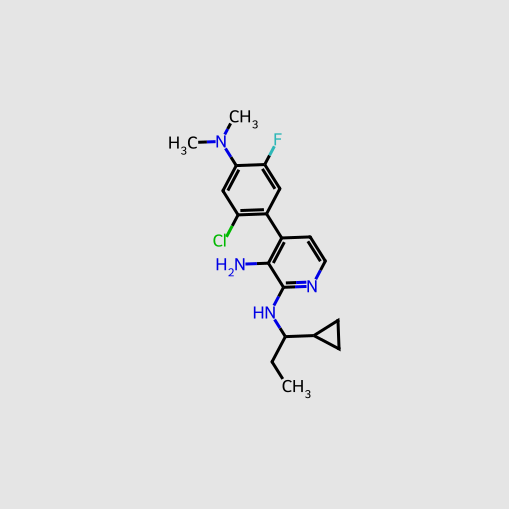 CCC(Nc1nccc(-c2cc(F)c(N(C)C)cc2Cl)c1N)C1CC1